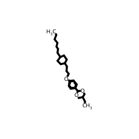 CCCCCCCC1CCC(CCCOc2ccc(C3OCC(CC)CO3)cc2)CC1